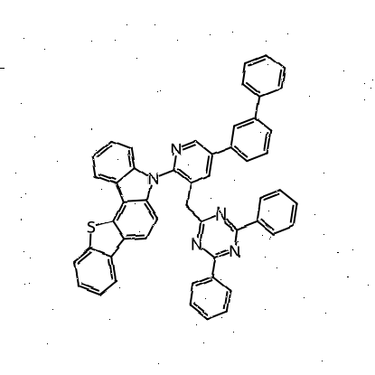 c1ccc(-c2cccc(-c3cnc(-n4c5ccccc5c5c6sc7ccccc7c6ccc54)c(Cc4nc(-c5ccccc5)nc(-c5ccccc5)n4)c3)c2)cc1